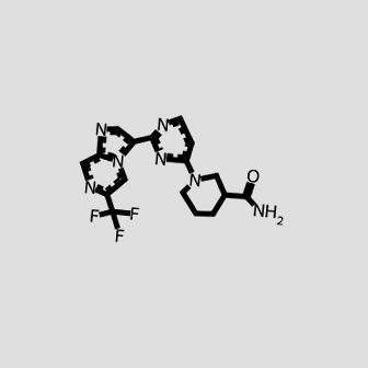 NC(=O)C1CCCN(c2ccnc(-c3cnc4cnc(C(F)(F)F)cn34)n2)C1